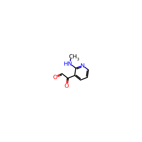 CNc1ncccc1C(=O)C=O